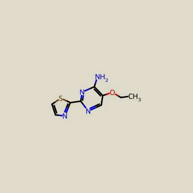 CCOc1cnc(-c2nccs2)nc1N